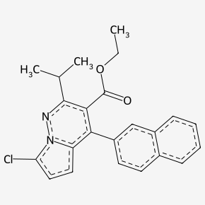 CCOC(=O)c1c(C(C)C)nn2c(Cl)ccc2c1-c1ccc2ccccc2c1